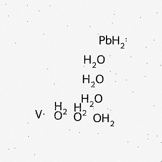 O.O.O.O.O.O.[PbH2].[V]